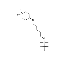 CC(C)(C)[Si](C)(C)OCCCCCNC1CCC(F)(F)CC1